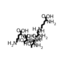 CC(O)C(N)C(=O)O.CC(O)C(N)C(=O)O.NC(CO)C(=O)O.NCCCCC(N)C(=O)O.NCCCCC(N)C(=O)O